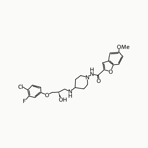 COc1ccc2oc(C(=O)NN3CCC(NC[C@@H](O)COc4ccc(Cl)c(F)c4)CC3)cc2c1